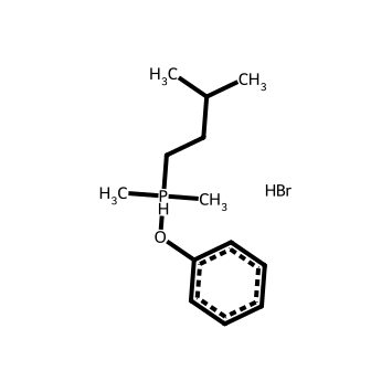 Br.CC(C)CC[PH](C)(C)Oc1ccccc1